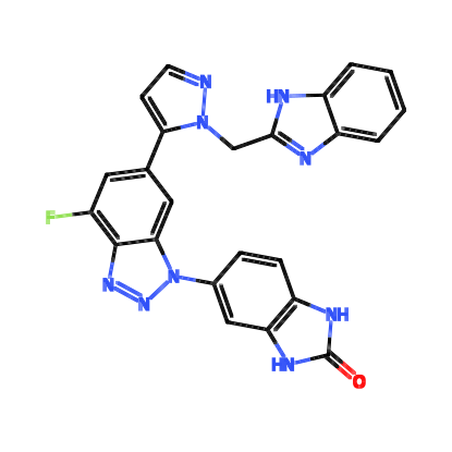 O=c1[nH]c2ccc(-n3nnc4c(F)cc(-c5ccnn5Cc5nc6ccccc6[nH]5)cc43)cc2[nH]1